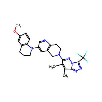 COc1ccc2c(c1)CCCN2c1cnc2c(c1)CN(c1nn3c(C(F)(F)F)nnc3c(C)c1C)CC2